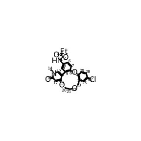 CCS(=O)(=O)Nc1ccc2c(c1)-c1cn(C)c(=O)cc1OCCOCc1cc(Cl)ccc1O2